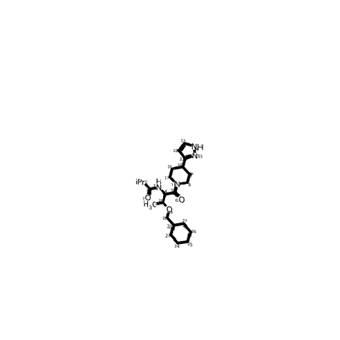 CC(C)C(=O)NC(C(=O)N1CCC(c2cc[nH]n2)CC1)C(C)OCC1CCCCC1